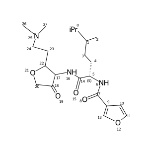 CC(C)C(C)CC[C@H](NC(=O)c1ccoc1)C(=O)NC1C(=O)COC1CCN(C)C